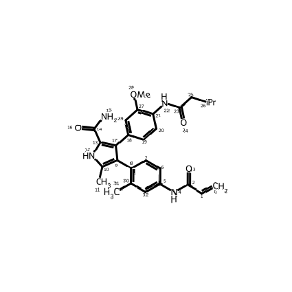 C=CC(=O)Nc1ccc(-c2c(C)[nH]c(C(N)=O)c2-c2ccc(NC(=O)CC(C)C)c(OC)c2)c(C)c1